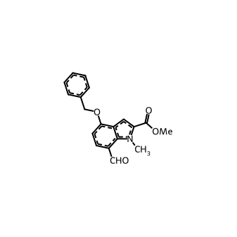 COC(=O)c1cc2c(OCc3ccccc3)ccc(C=O)c2n1C